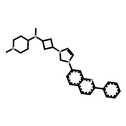 CN1CCC(N(C)C2CC(N3C=CN(c4ccc5ccc(-c6ccccc6)nc5c4)C3)C2)CC1